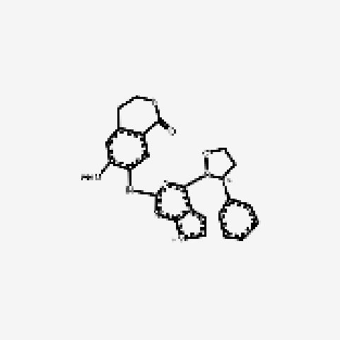 COc1cc2c(cc1Nc1nc(N3OCC[C@H]3c3ccccc3)c3cc[nH]c3n1)C(=O)NCC2